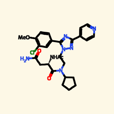 COc1ccc(-c2nc(-c3ccncc3)nn2CCN(C(=O)[C@H](CC(N)=O)NC(C)=O)C2CCCC2)cc1Cl